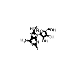 CNc1nc2c(N)nc(I)nc2n1[C@@H]1O[C@H](CO)C(O)C1O